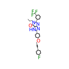 CCCn1c(-c2cccc(C(F)(F)F)c2)nc2nc(-c3ccc(OCC#Cc4ccc(F)cc4)cc3)[nH]c2c1=O